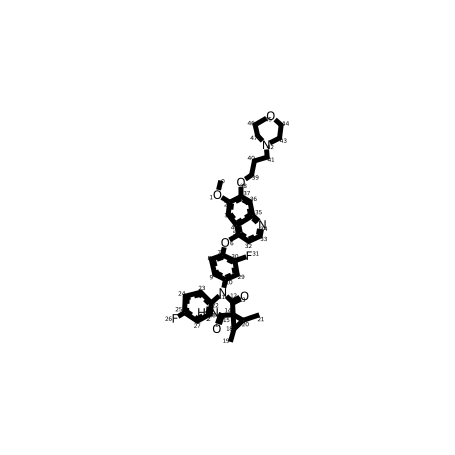 COc1cc2c(Oc3ccc(N(C(=O)C4(C(N)=O)C(C)C4C)c4ccc(F)cc4)cc3F)ccnc2cc1OCCCN1CCOCC1